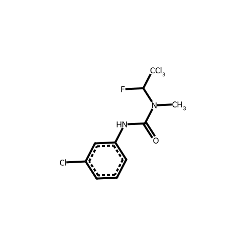 CN(C(=O)Nc1cccc(Cl)c1)C(F)C(Cl)(Cl)Cl